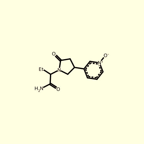 CCC(C(N)=O)N1CC(c2ccc[n+]([O-])c2)CC1=O